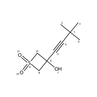 CC(C)(C)C#CC1(O)CS(=O)(=O)C1